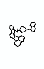 c1ccc2c(-c3ccc(-n4c5ccccc5c5ccc6c(c54)-c4cccc5cccc-6c45)cc3)cccc2c1